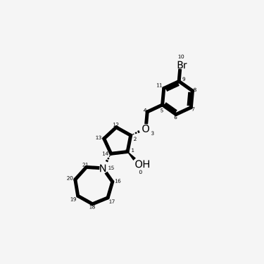 O[C@@H]1[C@@H](OCc2cccc(Br)c2)CC[C@H]1N1CCCCCC1